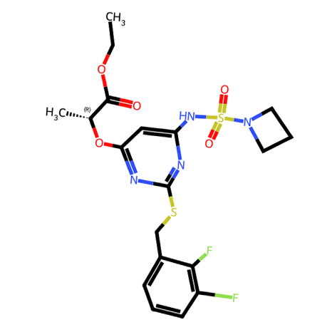 CCOC(=O)[C@@H](C)Oc1cc(NS(=O)(=O)N2CCC2)nc(SCc2cccc(F)c2F)n1